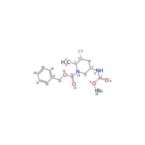 CC1C(F)CC(NC(=O)OC(C)(C)C)CN1C(=O)OCc1ccccc1